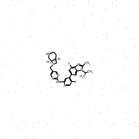 Cc1nc2c(F)cc(-c3cc(Nc4ncc(CN5C[C@@H]6CCNC[C@@H]65)cn4)ncc3F)cc2n1C(C)C